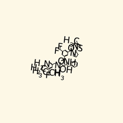 C=C/C(=C\C(=C/N)CNC[C@@H](O)[C@H](Cc1ccccc1)NC(=O)c1cc(C(=O)N2CCC[C@@H]2c2nc(C)cs2)cc(C(F)F)c1)C(C)(C)F